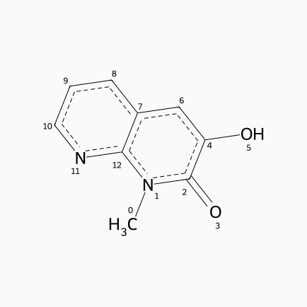 Cn1c(=O)c(O)cc2cccnc21